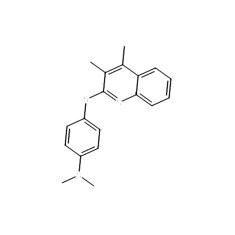 Cc1c(Nc2ccc(N(C)C)cc2)nc2ccccc2c1C